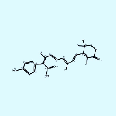 CC(C=CC1=C(C)C(=O)CCC1(C)C)=CC=CC(C)=C(C(N)=O)c1ccc(O)cc1